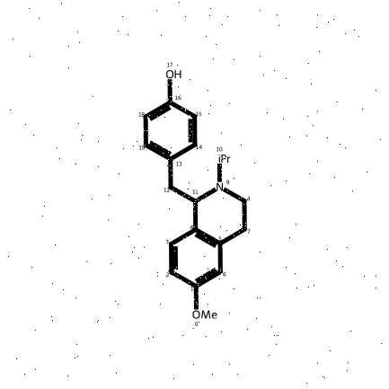 COc1ccc2c(c1)CCN(C(C)C)C2Cc1ccc(O)cc1